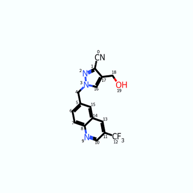 N#Cc1nn(Cc2ccc3ncc(C(F)(F)F)cc3c2)cc1CO